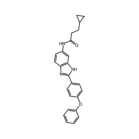 O=C(CCC1CC1)Nc1ccc2nc(-c3ccc(Oc4ccccc4)cc3)[nH]c2c1